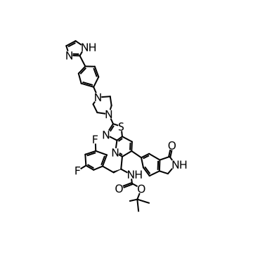 CC(C)(C)OC(=O)N[C@@H](Cc1cc(F)cc(F)c1)c1nc2nc(N3CCN(c4ccc(-c5ncc[nH]5)cc4)CC3)sc2cc1-c1ccc2c(c1)C(=O)NC2